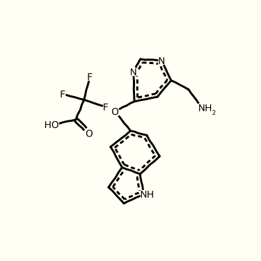 NCc1cc(Oc2ccc3[nH]ccc3c2)ncn1.O=C(O)C(F)(F)F